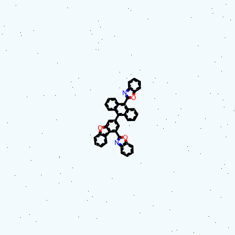 c1ccc2oc(-c3c4ccccc4c(-c4cc(-c5nc6ccccc6o5)c5c(c4)oc4ccccc45)c4ccccc34)nc2c1